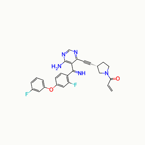 C=CC(=O)N1CC[C@@H](C#Cc2ncnc(N)c2C(=N)c2ccc(Oc3cccc(F)c3)cc2F)C1